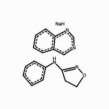 [NaH].c1ccc(NC2=NOCC2)cc1.c1ccc2ncncc2c1